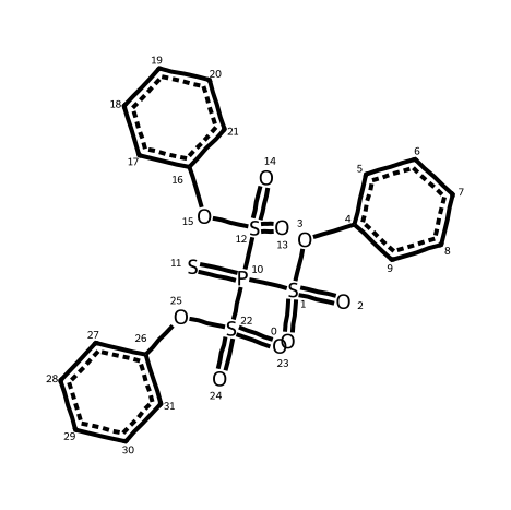 O=S(=O)(Oc1ccccc1)P(=S)(S(=O)(=O)Oc1ccccc1)S(=O)(=O)Oc1ccccc1